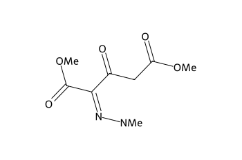 CN/N=C(\C(=O)CC(=O)OC)C(=O)OC